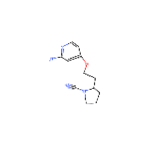 N#CN1CCCC1CCOc1ccnc(N)c1